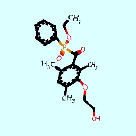 CCOP(=O)(C(=O)c1c(C)cc(C)c(OCCO)c1C)c1ccccc1